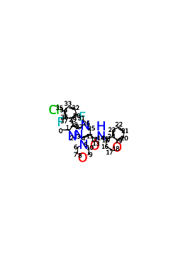 Cc1nn2c(N3CCOCC3)c(C(=O)N[C@H]3CCOc4ccccc43)cnc2c1-c1c(F)ccc(Cl)c1F